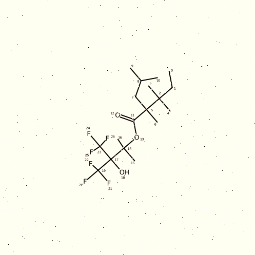 CCC(C)(C)C(C)(CC(C)C)C(=O)OC(C)(C)C(O)(C(F)(F)F)C(F)(F)F